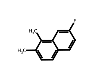 Cc1ccc2ccc(F)cc2c1C